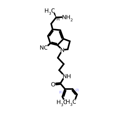 C/C=C\C(=C/C)C(=O)NCCCN1CCc2cc(C[C@@H](C)N)cc(C#N)c21